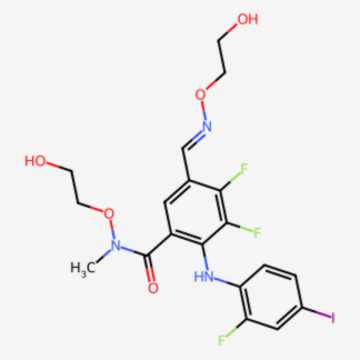 CN(OCCO)C(=O)c1cc(/C=N/OCCO)c(F)c(F)c1Nc1ccc(I)cc1F